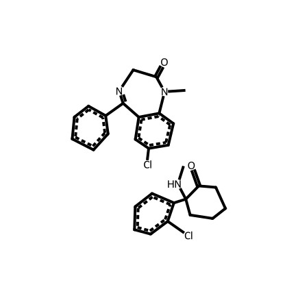 CN1C(=O)CN=C(c2ccccc2)c2cc(Cl)ccc21.CNC1(c2ccccc2Cl)CCCCC1=O